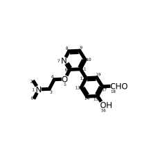 CN(C)CCOc1ncccc1-c1ccc(O)c(C=O)c1